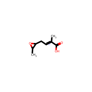 C/C(=C\CC1OC1C)C(=O)O